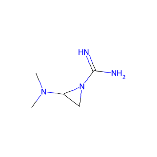 CN(C)C1CN1C(=N)N